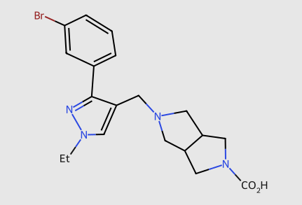 CCn1cc(CN2CC3CN(C(=O)O)CC3C2)c(-c2cccc(Br)c2)n1